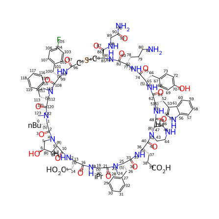 CCCC[C@H]1C(=O)N2C[C@H](O)C[C@@H]2C(=O)N[C@@H](CC(=O)O)C(=O)N[C@@H](C(C)C)C(=O)N(C)[C@@H](Cc2ccccc2)C(=O)N[C@@H](CCC(=O)O)C(=O)N2CCNC[C@@H]2C(=O)N[C@@H](Cc2c[nH]c3ccccc23)C(=O)N[C@@H](Cc2ccc(O)cc2)C(=O)N[C@@H](CCCN)C(=O)N[C@H](C(=O)NCC(N)=O)CSCC(=O)N[C@@H](Cc2ccc(F)cc2)C(=O)N(C)[C@@H](Cc2ccccc2)C(=O)N1C